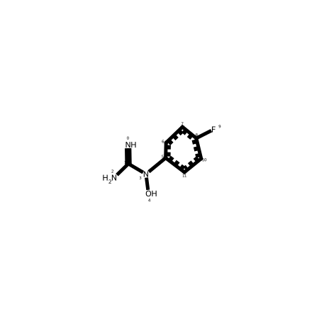 N=C(N)N(O)c1ccc(F)cc1